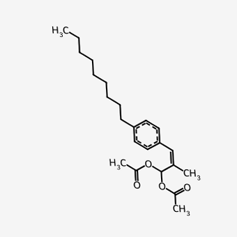 CCCCCCCCCc1ccc(C=C(C)C(OC(C)=O)OC(C)=O)cc1